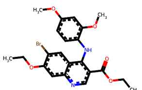 CCOC(=O)c1cnc2cc(OCC)c(Br)cc2c1Nc1ccc(OC)cc1OC